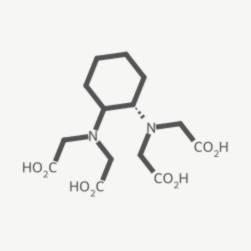 O=C(O)CN(CC(=O)O)C1CCCC[C@@H]1N(CC(=O)O)CC(=O)O